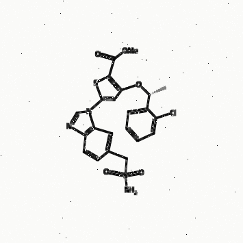 COC(=O)c1sc(-n2cnc3ccc(CS(N)(=O)=O)cc32)cc1O[C@H](C)c1ccccc1Cl